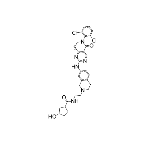 O=C(NCCN1CCc2ccc(Nc3ncc4c(n3)SCN(c3c(Cl)cccc3Cl)C4=O)cc2C1)C1CCC(O)C1